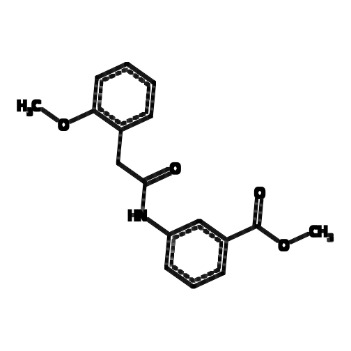 COC(=O)c1cccc(NC(=O)Cc2ccccc2OC)c1